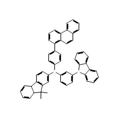 CC1(C)c2cc(N(c3ccc(-c4cccc5c4ccc4ccccc45)cc3)c3cccc(-n4c5ccccc5c5ccccc54)c3)ccc2C2C=CC=CC21